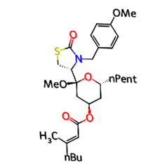 CCCCC[C@@H]1C[C@@H](OC(=O)C=C(C)CCCC)C[C@](OC)([C@@H]2CSC(=O)N2Cc2ccc(OC)cc2)O1